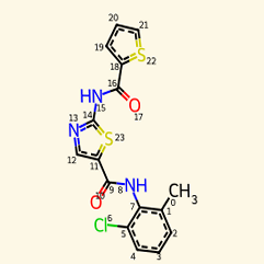 Cc1cccc(Cl)c1NC(=O)c1cnc(NC(=O)c2cccs2)s1